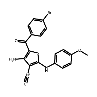 [C-]#[N+]c1c(Nc2ccc(OC)cc2)sc(C(=O)c2ccc(Br)cc2)c1N